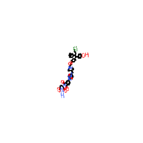 O=C1CCC(N2C(=O)c3ccc(N4CC5CCC4CN5CC4CCN(CCOc5ccc(C(=C(CCCl)c6ccccc6)c6ccc(O)cc6)cc5)CC4)cc3C2=O)C(=O)N1